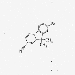 CC1(C)c2cc(Br)ccc2C2C=CC(C#N)=CC21